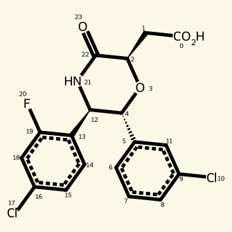 O=C(O)C[C@H]1O[C@H](c2cccc(Cl)c2)[C@@H](c2ccc(Cl)cc2F)NC1=O